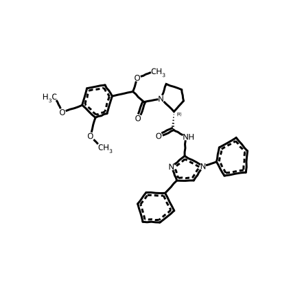 COc1ccc(C(OC)C(=O)N2CCC[C@@H]2C(=O)Nc2nc(-c3ccccc3)cn2-c2ccccc2)cc1OC